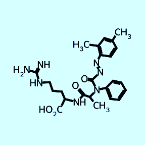 Cc1ccc(/N=N/C(=O)N(c2ccccc2)C(C)C(=O)NC(CCCNC(=N)N)C(=O)O)c(C)c1